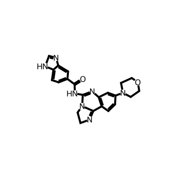 O=C(NC1=Nc2cc(N3CCOCC3)ccc2C2=NCCN12)c1ccc2[nH]cnc2c1